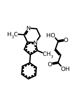 CC1=NCCn2c1cc(-c1ccccc1)c2C.O=C(O)C=CC(=O)O